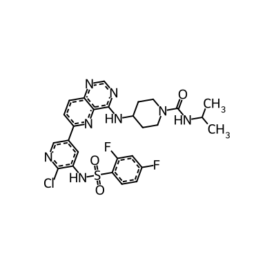 CC(C)NC(=O)N1CCC(Nc2ncnc3ccc(-c4cnc(Cl)c(NS(=O)(=O)c5ccc(F)cc5F)c4)nc23)CC1